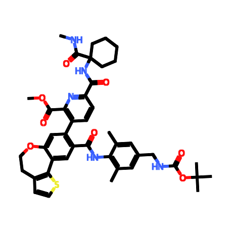 CNC(=O)C1(NC(=O)c2ccc(-c3cc4c(cc3C(=O)Nc3c(C)cc(CNC(=O)OC(C)(C)C)cc3C)-c3sccc3CCO4)c(C(=O)OC)n2)CCCCC1